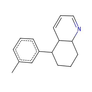 Cc1cccc(C2CCCC3N=CC=CC32)c1